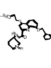 COCCOc1cc(C(=O)N[C@@H]2CCCN(C(C)C)C2)nc2c(OCc3ccccc3)cccc12